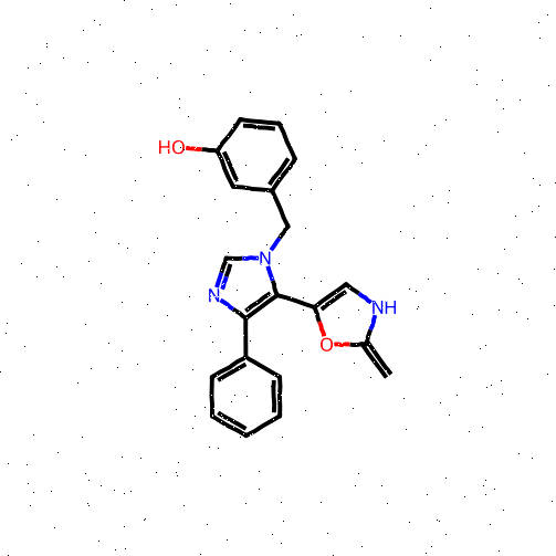 C=C1NC=C(c2c(-c3ccccc3)ncn2Cc2cccc(O)c2)O1